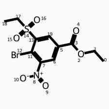 CCOC(=O)c1cc([N+](=O)[O-])c(Br)c(S(=O)(=O)CC)c1